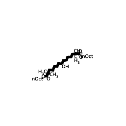 CCCCCCCCOC(=O)C(C)(C)CCCCCC(O)CCCCCC(C)(C)C(=O)OCCCCCCCC